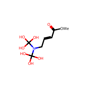 COC(=O)/C=C/CN(C(O)(O)O)C(O)(O)O